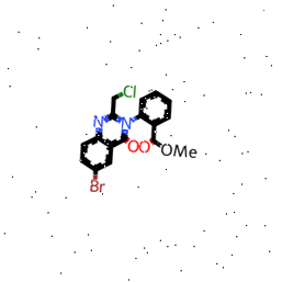 COC(=O)c1ccccc1-n1c(CCl)nc2ccc(Br)cc2c1=O